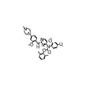 COc1ccc(N(C(=O)Oc2c(C)cccc2C)c2ccnc(Nc3ccc(N4CCN(C)CC4)cc3OC)n2)c(OC)c1